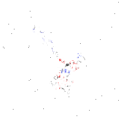 CC/C=C\C/C=C\C/C=C\C/C=C\C/C=C\CCCC(=O)OCC(C)(C)[C@@H](OC(=O)c1cccnc1)C(=O)NCCC(=O)Oc1ccccc1C(=O)Oc1ccccc1C(=O)OC(C)(C)C